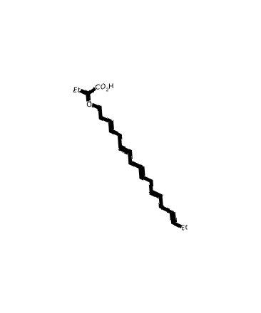 CCC=CCC=CCC=CCC=CCC=CCCOC(CC)C(=O)O